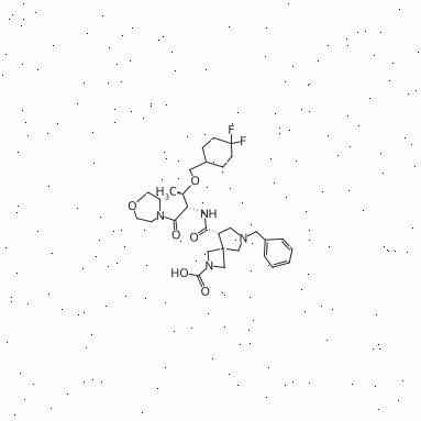 C[C@@H](OCC1CCC(F)(F)CC1)[C@H](NC(=O)[C@@H]1CN(Cc2ccccc2)CC12CN(C(=O)O)C2)C(=O)N1CCOCC1